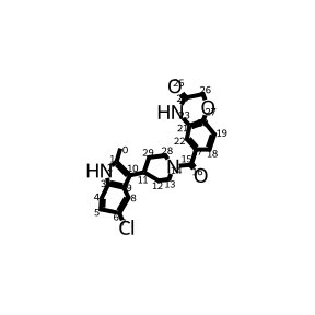 Cc1[nH]c2ccc(Cl)cc2c1C1CCN(C(=O)c2ccc3c(c2)NC(=O)CO3)CC1